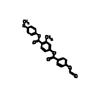 COc1ccc(OC(=O)c2ccc(OC(=O)c3ccc(OC=O)cc3)cc2C)cc1